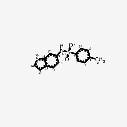 Cc1ccc(S(=O)(=O)Nc2ccc3ccsc3c2)cc1